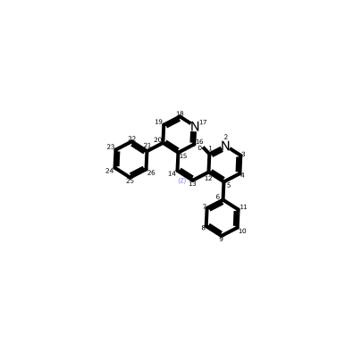 Cc1nccc(-c2ccccc2)c1/C=C\c1cnccc1-c1ccccc1